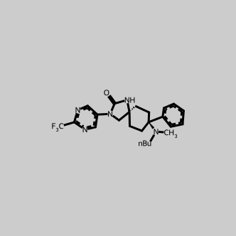 CCCCN(C)[C@]1(c2ccccc2)CC[C@]2(CC1)CN(c1cnc(C(F)(F)F)nc1)C(=O)N2